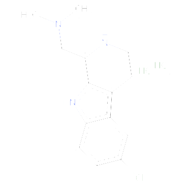 CN(C)CC1NCCc2c1[nH]c1ccc(Cl)cc21.Cl.Cl